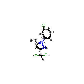 CC(C)c1cc(C(C)(F)F)nn1-c1cccc(Cl)c1